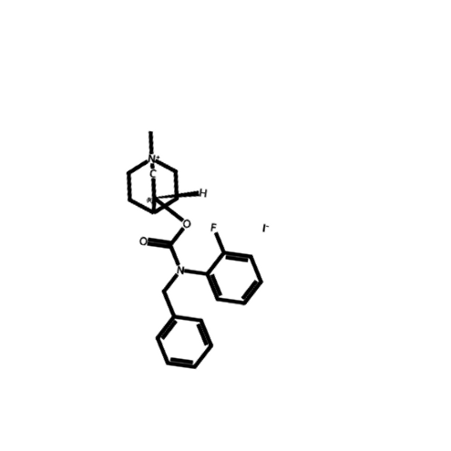 C[N+]12CCC(CC1)[C@@H](OC(=O)N(Cc1ccccc1)c1ccccc1F)C2.[I-]